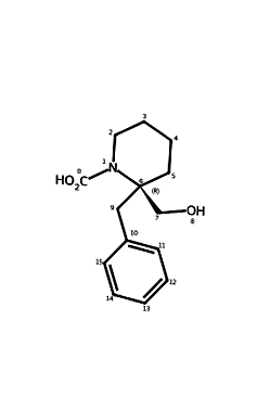 O=C(O)N1CCCC[C@]1(CO)Cc1ccccc1